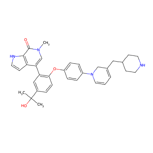 Cn1cc(-c2cc(C(C)(C)O)ccc2Oc2ccc(N3C=CC=C(CC4CCNCC4)C3)cc2)c2cc[nH]c2c1=O